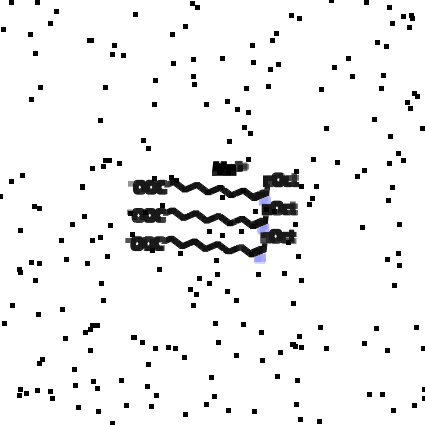 CCCCCCCC/C=C\CCCCCCCC(=O)[O-].CCCCCCCC/C=C\CCCCCCCC(=O)[O-].CCCCCCCC/C=C\CCCCCCCC(=O)[O-].[Mn+3]